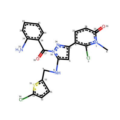 Cn1c(Cl)c(-c2cc(NCc3ccc(Cl)s3)n(C(=O)c3ccccc3N)n2)ccc1=O